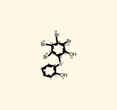 Oc1ccccc1Sc1c(O)c(Br)c(Br)c(Br)c1Br